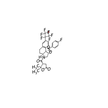 CC1(C)OC(=O)C[C@@H]1C(=O)N1CC[C@]2(S(=O)(=O)c3ccc(F)cc3)c3ccc(C(F)(C(F)(F)F)C(F)(F)F)cc3CC[C@H]12